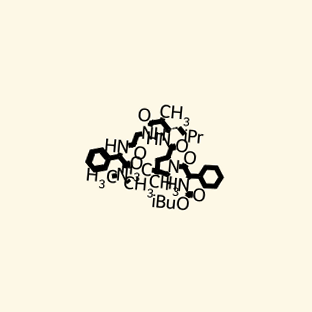 CC(C)COC(=O)NC(C(=O)N1CC(C)(C)CC1C(=O)N[C@@H](CC(C)C)C(C)C(=O)NCC(=O)NC(C(=O)N(C)C)c1ccccc1)C1CCCCC1